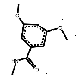 [CH2]NC(=O)c1cc(OC)cc(OC)c1